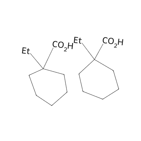 CCC1(C(=O)O)CCCCC1.CCC1(C(=O)O)CCCCC1